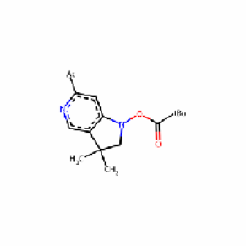 CC(=O)c1cc2c(cn1)C(C)(C)CN2OC(=O)C(C)(C)C